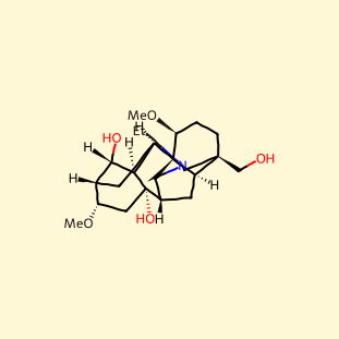 CCN1C[C@]2(CO)CC[C@H](OC)[C@]34C1[C@H](C[C@H]23)[C@@]1(O)C[C@H](OC)[C@H]2C[C@@H]4[C@@H]1[C@H]2O